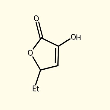 CCC1C=C(O)C(=O)O1